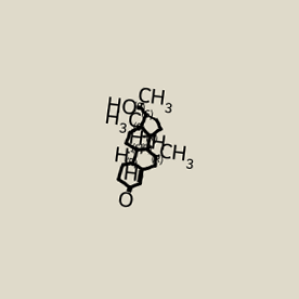 C[C@H](O)[C@H]1CC[C@@H]2[C@H]3[C@H](CC[C@@]21C)[C@H]1CCC(=O)C=C1C[C@H]3C